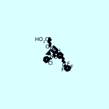 CC(C)(CCC(=O)N1CC2CC(c3ccc(CCCOc4c(F)ccc(F)c4F)cc3)=C(C(=O)N(Cc3ccccc3Cl)C3CC3)C(C1)N2)C(=O)O